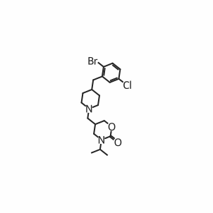 CC(C)N1CC(CN2CCC(Cc3cc(Cl)ccc3Br)CC2)COC1=O